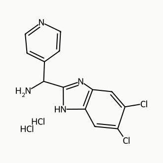 Cl.Cl.NC(c1ccncc1)c1nc2cc(Cl)c(Cl)cc2[nH]1